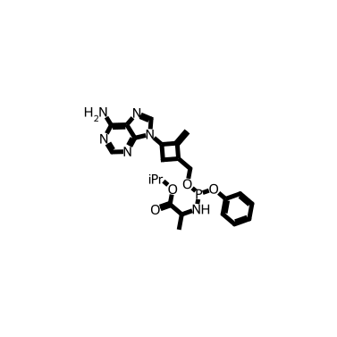 C=C1C(COP(NC(C)C(=O)OC(C)C)Oc2ccccc2)CC1n1cnc2c(N)ncnc21